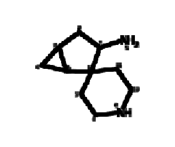 NC1CC2CC2C12CCNCC2